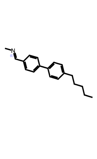 CCCCCc1ccc(-c2ccc(/C=N/C)cc2)cc1